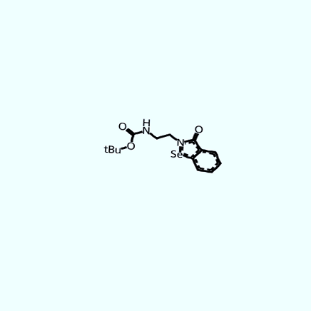 CC(C)(C)OC(=O)NCCn1[se]c2ccccc2c1=O